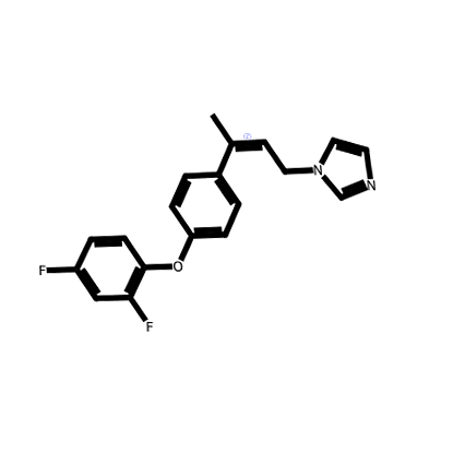 C/C(=C/Cn1ccnc1)c1ccc(Oc2ccc(F)cc2F)cc1